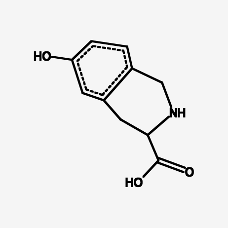 O=C(O)C1Cc2cc(O)ccc2CN1